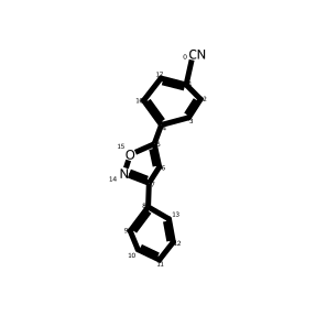 N#Cc1ccc(-c2cc(-c3ccccc3)no2)cc1